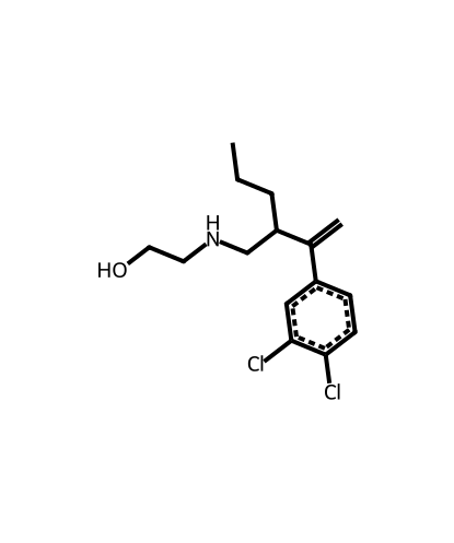 C=C(c1ccc(Cl)c(Cl)c1)C(CCC)CNCCO